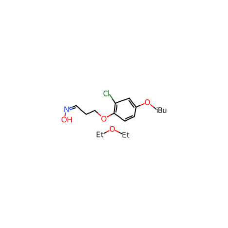 CCC(C)Oc1ccc(OCC/C=N\O)c(Cl)c1.CCOCC